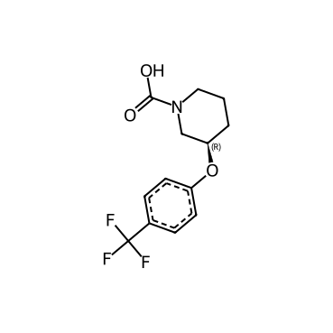 O=C(O)N1CCC[C@@H](Oc2ccc(C(F)(F)F)cc2)C1